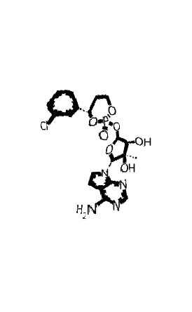 C[C@@]1(O)[C@H](O)C(OP2(=O)OCC[C@@H](c3cccc(Cl)c3)O2)O[C@H]1n1ccc2c(N)ncnc21